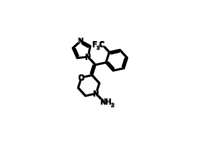 NN1CCOC(=C(c2ccccc2C(F)(F)F)n2ccnc2)C1